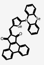 O=C1C(=Cc2ccc(N3c4ccccc4[Se]c4ccccc43)[se]2)C(=O)c2c1c1ccccc1c1ccccc21